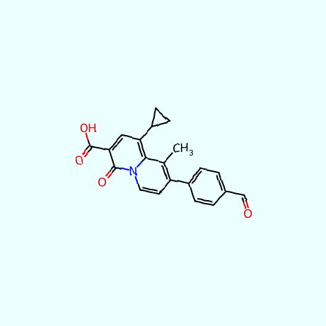 Cc1c(-c2ccc(C=O)cc2)ccn2c(=O)c(C(=O)O)cc(C3CC3)c12